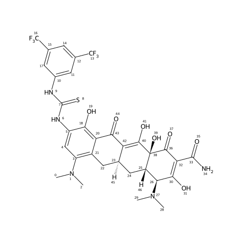 CN(C)c1cc(NC(=S)Nc2cc(C(F)(F)F)cc(C(F)(F)F)c2)c(O)c2c1C[C@@H]1C[C@H]3[C@H](N(C)C)C(O)=C(C(N)=O)C(=O)[C@@]3(O)C(O)=C1C2=O